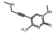 CNCC#Cc1cn(NC)c(=O)nc1N